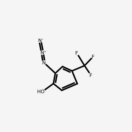 [N-]=[N+]=Nc1cc(C(F)(F)F)ccc1O